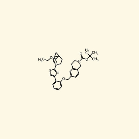 CCOC(=O)[C@@]12CCN(c3nc(-c4ccccc4OCc4ccc5c(c4)CCN(C(=O)OC(C)(C)C)C5)cs3)CC1C2